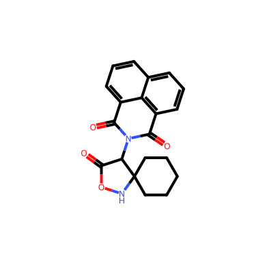 O=C1ONC2(CCCCC2)C1N1C(=O)c2cccc3cccc(c23)C1=O